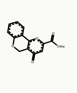 COC(=O)c1cc(=O)c2c(o1)-c1ccccc1OC2